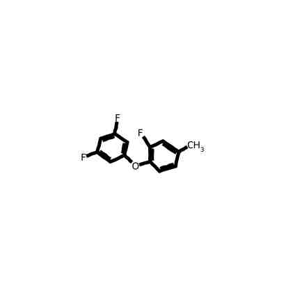 Cc1ccc(Oc2cc(F)cc(F)c2)c(F)c1